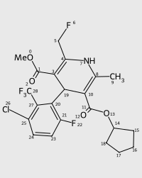 COC(=O)C1=C(CF)NC(C)=C(C(=O)OC2CCCC2)C1c1c(F)ccc(Cl)c1C(F)(F)F